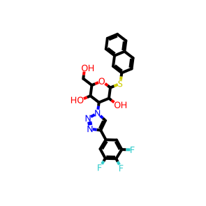 OCC1OC(Sc2ccc3ccccc3c2)C(O)C(n2cc(-c3cc(F)c(F)c(F)c3)nn2)C1O